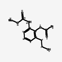 CCC(=O)Oc1c(CCO)cccc1NC(=O)OC(C)(C)C